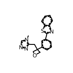 Cn1cnnc1CC1(c2cccc(-c3nc4ccccc4s3)c2)COC1